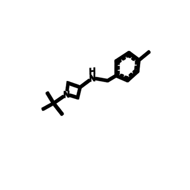 Cc1ccc(CNC2CN(C(C)(C)C)C2)cc1